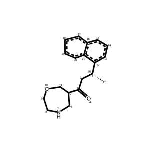 C[C@H](CC(=O)C1CNCCOC1)c1cccc2ccccc12